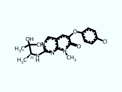 C[C@H](Nc1ncc2cc(Oc3ccc(Cl)cc3)c(=O)n(C)c2n1)C(C)(C)O